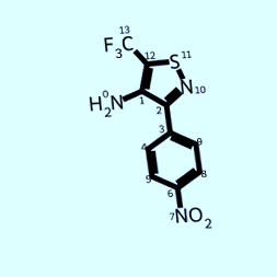 Nc1c(-c2ccc([N+](=O)[O-])cc2)nsc1C(F)(F)F